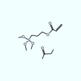 C=CC(=O)OCCC[Si](OC)(OC)OC.CCC(C)=O